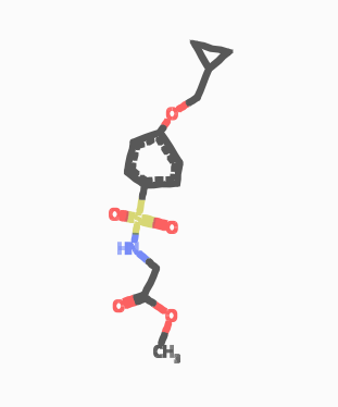 COC(=O)CNS(=O)(=O)c1ccc(OCC2CC2)cc1